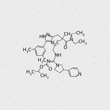 CCN(CC)C(=O)C(C)(C)Cc1n[nH]c(-c2cc(C)cc(C)c2)c1CCNC(=NC(=O)OC(C)C)N1CCC(c2ccncc2)C1